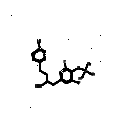 CC(C)[Si](Oc1c(F)cc(CC(C=O)CCc2ccc(C#N)cc2)cc1F)(C(C)C)C(C)C